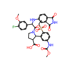 CCS(=O)(=O)c1ccc(NC(=O)OC)cc1C1C(C(=O)O)CCN1C(=O)C(Nc1ccc2c(c1)C(=O)NC2=O)c1ccc(F)c(OC)c1